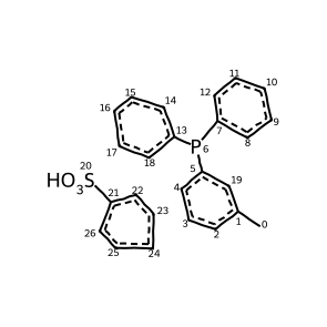 Cc1cccc(P(c2ccccc2)c2ccccc2)c1.O=S(=O)(O)c1ccccc1